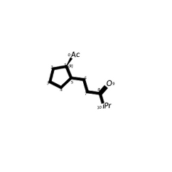 CC(=O)[C@@H]1CCCC1CCC(=O)C(C)C